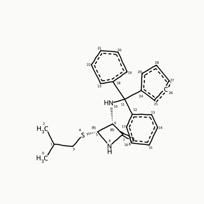 CC(C)CS[C@H]1NC(=O)[C@H]1NC(c1ccccc1)(c1ccccc1)c1ccccc1